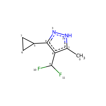 Cc1[nH]nc(C2CC2)c1C(F)F